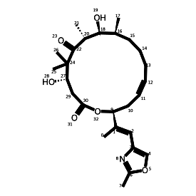 C/C(=C\c1coc(C)n1)[C@@H]1C/C=C\CCC[C@H](C)[C@H](O)[C@@H](C)C(=O)C(C)(C)[C@@H](O)CC(=O)O1